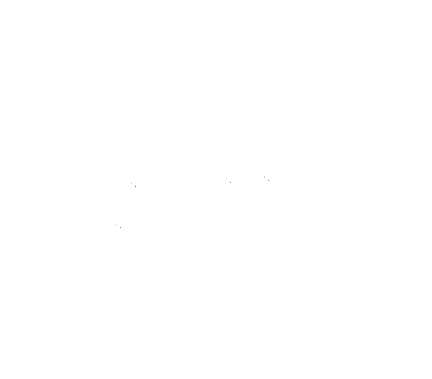 COc1cc(-c2csc3c(/C=C/C=O)cnc(N)c23)ccc1CNC(=O)c1cc2ccccc2[nH]1